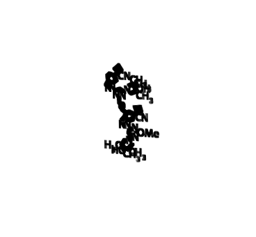 COc1nc(N2C[C@@H](C)[C@@](C)(O)[C@@H](C)C2)cc(-n2ncc3c(COCc4nc(N5C[C@@H](C)[C@@](C)(O)[C@@H](C)C5)cc(-n5ncc6ccc(C7(C#N)CCC7)cc65)n4)cc(C4(C#N)CCC4)cc32)n1